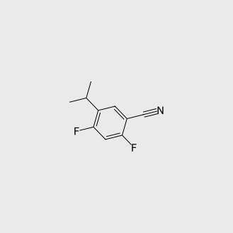 CC(C)c1cc(C#N)c(F)cc1F